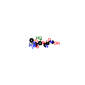 COc1ccccc1NC(=O)C(C(N)=O)c1ccc(Oc2ccnc3cc(C(=O)N4CC(O)C4)sc23)c(F)c1.Cl